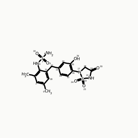 Cc1cc(C)c(NS(N)(=O)=O)c(Cc2ccc(N3CC(=O)NS3(=O)=O)c(O)c2)c1